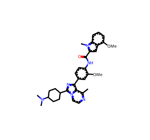 COc1cc(-c2nc(C3CCC(N(C)C)CC3)n3ccnc(C)c23)ccc1NC(=O)c1cc2c(OC)cccc2n1C